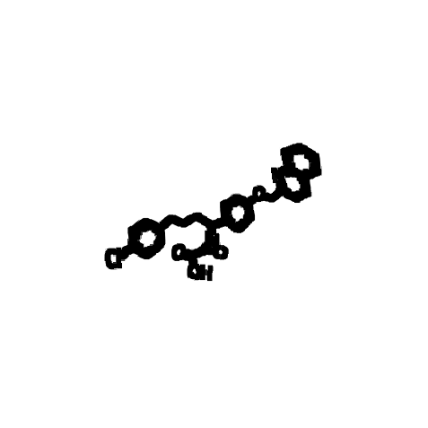 O=C(O)C1ON1C(CCCc1ccc(Cl)cc1)c1ccc(OCc2ccc3ccccc3n2)cc1